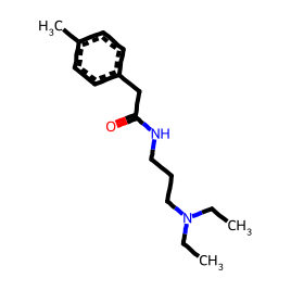 CCN(CC)CCCNC(=O)Cc1ccc(C)cc1